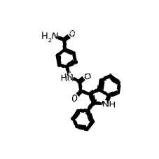 NC(=O)c1ccc(NC(=O)C(=O)c2c(-c3ccccc3)[nH]c3ccccc23)cc1